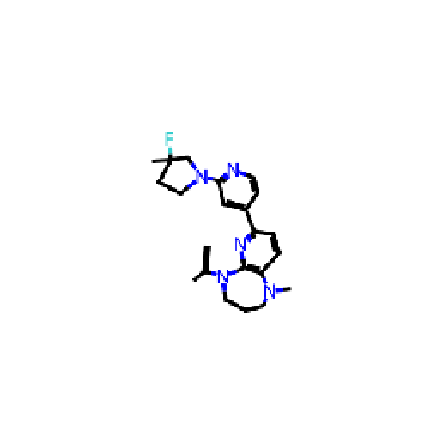 C=C(C)N1CCCN(C)c2ccc(-c3ccnc(N4CCC(C)(F)C4)c3)nc21